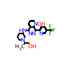 CC(CO)N1CCCC(Nc2nnc(-c3ncc(C(F)(F)F)cc3O)c3ncccc23)C1